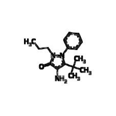 CCCn1c(=O)c(N)c(C(C)(C)C)n1-c1ccccc1